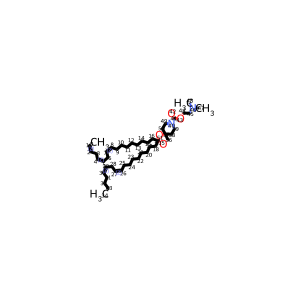 C/C=C\C/C=C\C/C=C\CCCCCCCCC1(CCCCCCCC/C=C\C/C=C\CCCC)OCC2(CCN(C(=O)OCCN(C)C)CC2)O1